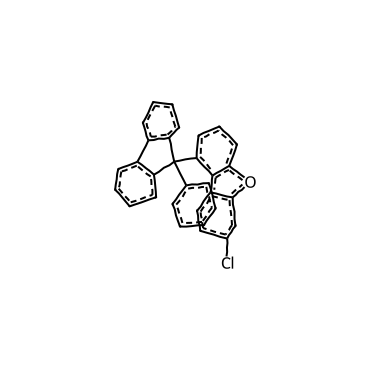 Clc1ccc2c(c1)oc1cccc(C3(c4ccccc4)c4ccccc4-c4ccccc43)c12